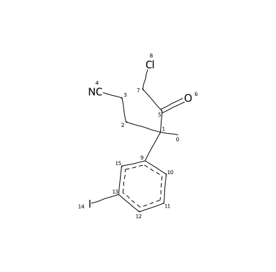 CC(CCC#N)(C(=O)CCl)c1cccc(I)c1